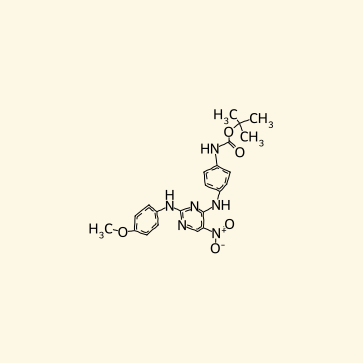 COc1ccc(Nc2ncc([N+](=O)[O-])c(Nc3ccc(NC(=O)OC(C)(C)C)cc3)n2)cc1